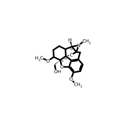 COc1ccc2c3c1O[C@@]1(CO)C(OC)CCC4[C@@H]5N(C)C5(C2)C[C@@]341